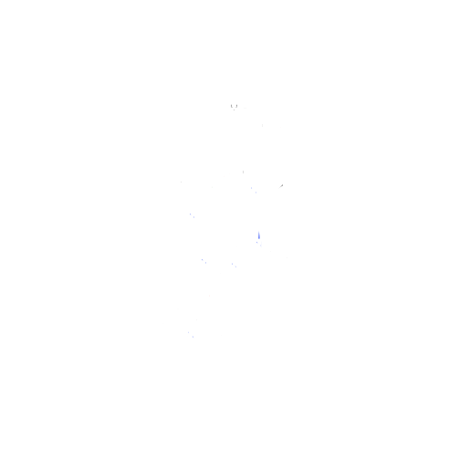 COC(=O)/C=C/C(=O)N1C[C@H](N(C)c2nc(OCC34CCCN3CCC4)nc3c2CCN(c2cccc4cccc(Cl)c24)C3)C[C@@H]1C